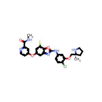 CNC(=O)c1cc(Oc2cc(F)c3oc(Nc4ccc(Cl)c(OC[C@]5(C)CCCN5)c4)nc3c2)ccn1